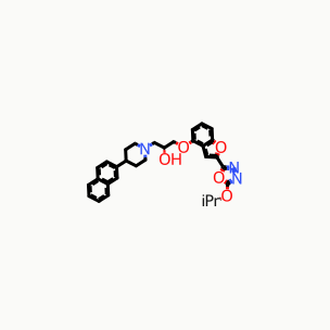 CC(C)Oc1nnc(-c2cc3c(OC[C@@H](O)CN4CCC(c5ccc6ccccc6c5)CC4)cccc3o2)o1